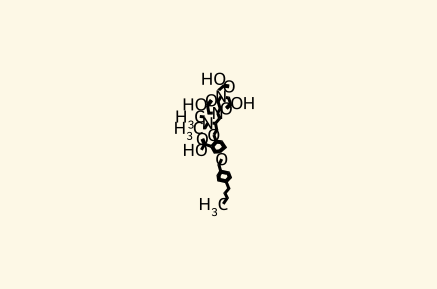 CCCCc1ccc(COc2ccc(OCC(CN(CCN(CC(=O)O)CC(=O)O)CC(=O)O)N(CC)CC)c(C(=O)O)c2)cc1